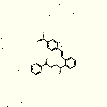 O=C(OOC(=O)c1ccccc1C=Cc1ccc([N+](=O)[O-])cc1)c1ccccc1